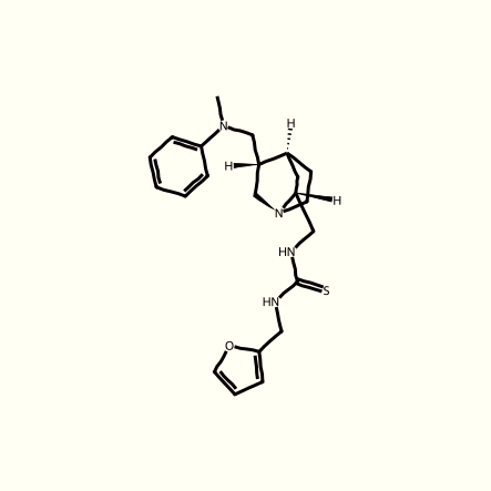 CN(C[C@H]1C[N@]2CC[C@H]1C[C@@H]2CNC(=S)NCc1ccco1)c1ccccc1